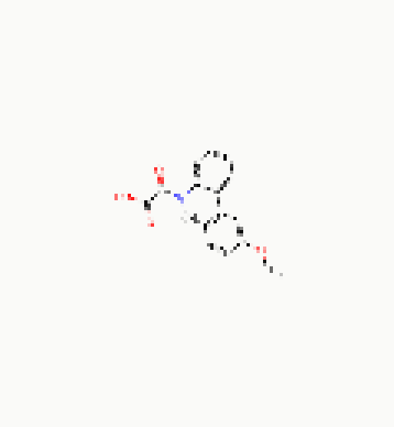 COc1cccc(-c2ccccc2N(C)C(=O)C(=O)O)c1